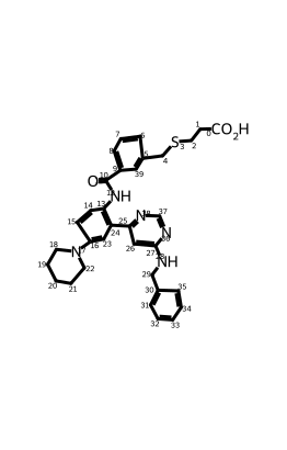 O=C(O)CCSCc1cccc(C(=O)Nc2ccc(N3CCCCC3)cc2-c2cc(NCc3ccccc3)ncn2)c1